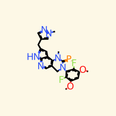 COc1cc(OC)c(F)c(N2Cc3cnc4[nH]c(Cc5cnn(C)c5)cc4c3N(C)/C2=P/C)c1F